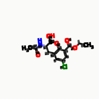 CCOC(=O)c1cc(Cl)cc2c1OB(O)[C@@H](NC(C)=O)C2